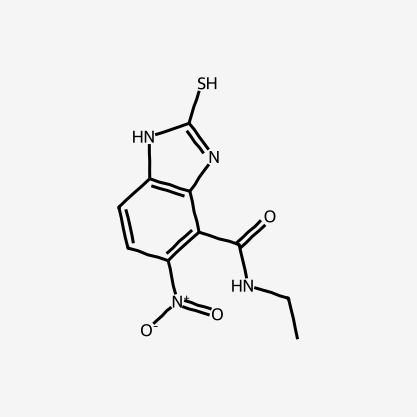 CCNC(=O)c1c([N+](=O)[O-])ccc2[nH]c(S)nc12